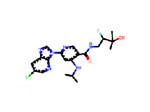 CC(C)Nc1cc(-n2cnc3cc(Cl)cnc32)ncc1C(=O)NCC(F)C(C)(C)O